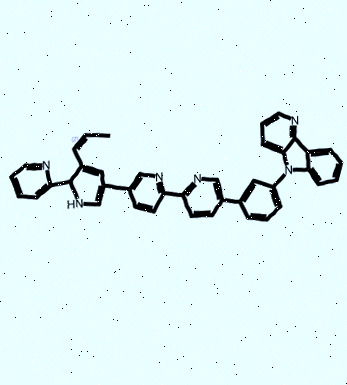 C/C=C\C1=CC(c2ccc(-c3ccc(-c4cccc(-n5c6ccccc6c6ncccc65)c4)cn3)nc2)=CNC1c1ccccn1